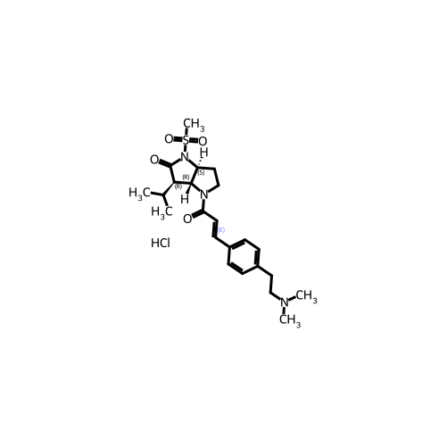 CC(C)[C@H]1C(=O)N(S(C)(=O)=O)[C@H]2CCN(C(=O)/C=C/c3ccc(CCN(C)C)cc3)[C@H]12.Cl